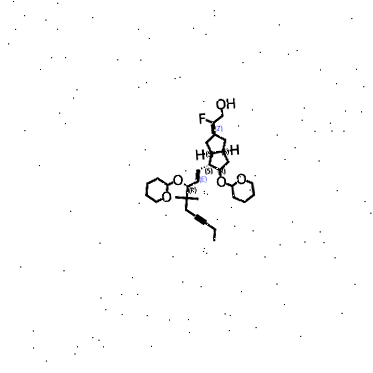 CCC#CCC(C)(C)[C@@H](/C=C/[C@@H]1[C@H]2C/C(=C(\F)CO)C[C@H]2C[C@H]1OC1CCCCO1)OC1CCCCO1